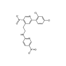 O=[N+]([O-])c1ccc(NCCc2cc(-c3ccc(Cl)cc3Cl)n[c]c2[N+](=O)[O-])nc1